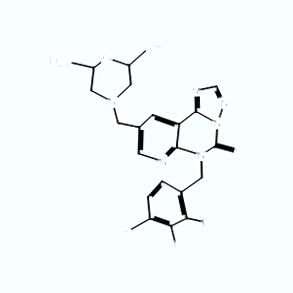 CC1CN(Cc2cnc3c(c2)c2ncnn2c(=O)n3Cc2ccc(F)c(F)c2F)CC(C)O1